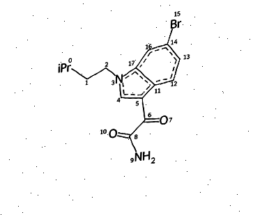 CC(C)CCn1cc(C(=O)C(N)=O)c2ccc(Br)cc21